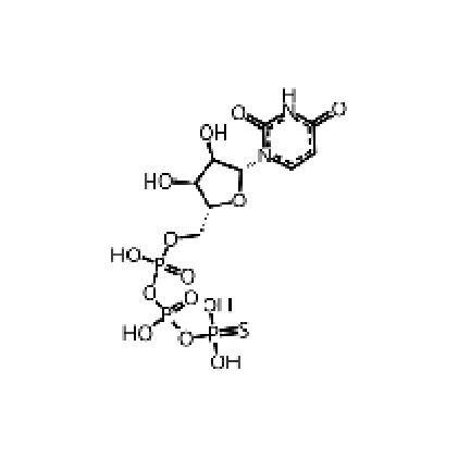 O=c1ccn([C@@H]2O[C@H](COP(=O)(O)OP(=O)(O)OP(O)(O)=S)[C@@H](O)[C@H]2O)c(=O)[nH]1